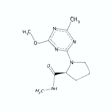 CNC(=O)[C@@H]1CCCN1c1nc(C)nc(OC)n1